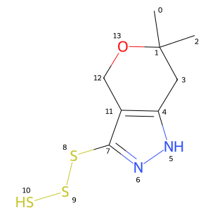 CC1(C)Cc2[nH]nc(SSS)c2CO1